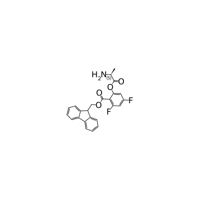 C[C@H](N)C(=O)Oc1cc(F)cc(F)c1C(=O)OCC1c2ccccc2-c2ccccc21